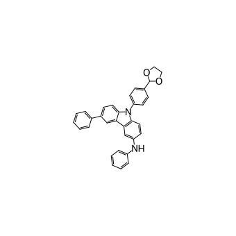 c1ccc(Nc2ccc3c(c2)c2cc(-c4ccccc4)ccc2n3-c2ccc(C3OCCO3)cc2)cc1